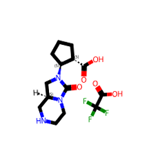 O=C(O)C(F)(F)F.O=C(O)[C@H]1CCC[C@@H]1N1C[C@@H]2CNCCN2C1=O